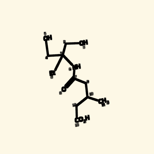 CCC(CO)(CO)NC(=O)CC(C)CC(=O)O